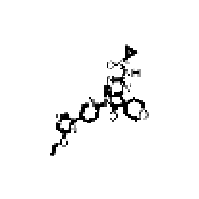 CCOc1cncc(-c2ccc(NC(=O)C3(c4ccnc(N[S+]([O-])C5CC5)n4)CCOCC3)nc2)n1